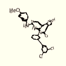 COc1ccc(Nc2ncc3c4n[nH]cc4c(=O)n(-c4cccc(-c5cc(Cl)cc(Cl)c5)c4)c3n2)cc1